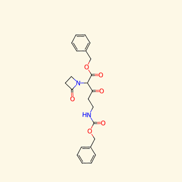 O=C(NCCC(=O)C(C(=O)OCc1ccccc1)N1CCC1=O)OCc1ccccc1